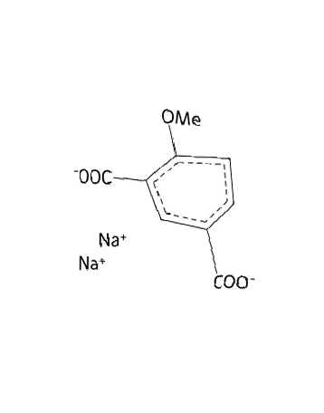 COc1ccc(C(=O)[O-])cc1C(=O)[O-].[Na+].[Na+]